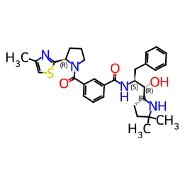 Cc1csc([C@H]2CCCN2C(=O)c2cccc(C(=O)N[C@@H](Cc3ccccc3)[C@H](O)[C@H]3CCC(C)(C)N3)c2)n1